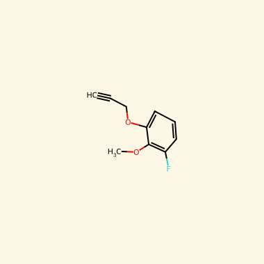 C#CCOc1cccc(F)c1OC